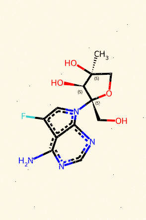 C[C@]1(O)CO[C@](CO)(n2cc(F)c3c(N)ncnc32)[C@H]1O